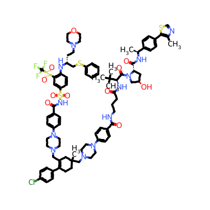 Cc1ncsc1-c1ccc([C@H](C)NC(=O)[C@@H]2C[C@@H](O)CN2C(=O)[C@@H](NC(=O)CCCNC(=O)c2ccc(N3CCN(CC4(C)CCC(c5ccc(Cl)cc5)=C(CN5CCN(c6ccc(C(=O)NS(=O)(=O)c7ccc(N[C@H](CCN8CCOCC8)CSc8ccccc8)c(S(=O)(=O)C(F)(F)F)c7)cc6)CC5)C4)CC3)cc2)C(C)(C)C)cc1